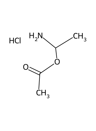 CC(=O)OC(C)N.Cl